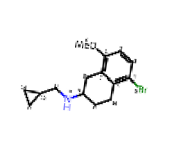 COc1ccc(Br)c2c1CC(NCC1CC1)CC2